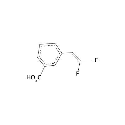 O=C(O)c1cccc(C=C(F)F)c1